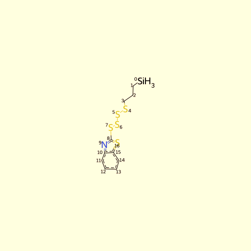 [SiH3]CCCSSSSc1nc2ccccc2s1